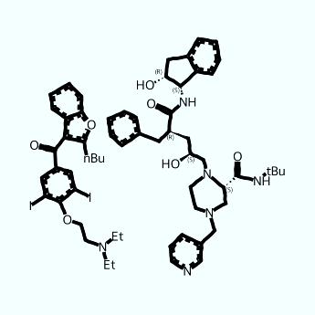 CC(C)(C)NC(=O)[C@@H]1CN(Cc2cccnc2)CCN1C[C@@H](O)C[C@@H](Cc1ccccc1)C(=O)N[C@H]1c2ccccc2C[C@H]1O.CCCCc1oc2ccccc2c1C(=O)c1cc(I)c(OCCN(CC)CC)c(I)c1